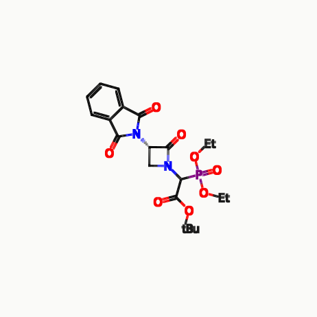 CCOP(=O)(OCC)C(C(=O)OC(C)(C)C)N1C[C@H](N2C(=O)c3ccccc3C2=O)C1=O